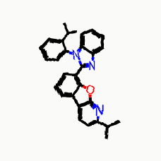 CC(C)c1ccc2c(n1)oc1c(-c3nc4ccccc4n3-c3ccccc3C(C)C)cccc12